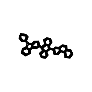 c1ccc(-n2c3ccccc3c3cc(-c4c5ccccc5c(-c5ccc6c(ccc7ccccc76)c5)c5ccccc45)ccc32)cc1